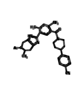 CC(=O)N1Cc2[nH]c(-c3cc(C(=O)N4CCC(c5ccc(C#N)cc5)CC4)c(C)cc3C)nc2CC1C